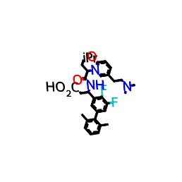 Cc1cccc(C)c1-c1cc(F)c(F)c(C(CC(=O)O)NC(=O)C(CC(C)C)n2cc(CCN(C)C)ccc2=O)c1